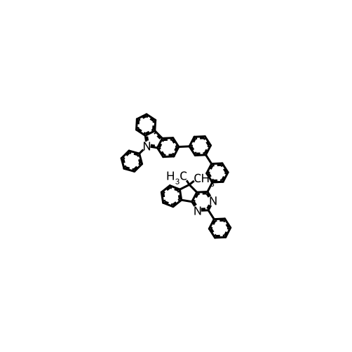 CC1(C)c2ccccc2-c2nc(-c3ccccc3)nc(-c3cccc(-c4cccc(-c5ccc6c(c5)c5ccccc5n6-c5ccccc5)c4)c3)c21